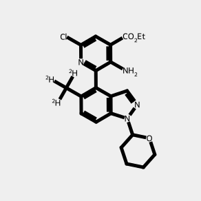 [2H]C([2H])([2H])c1ccc2c(cnn2C2CCCCO2)c1-c1nc(Cl)cc(C(=O)OCC)c1N